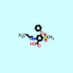 CCCCNc1cc(Oc2ccccc2)c(S(C)(=O)=O)cc1C(=O)O